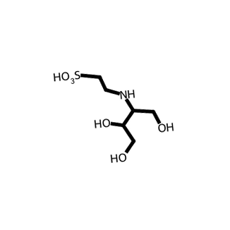 O=S(=O)(O)CCNC(CO)C(O)CO